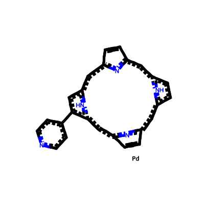 C1=Cc2cc3cc(-c4ccncc4)c(cc4nc(cc5ccc(cc1n2)[nH]5)C=C4)[nH]3.[Pd]